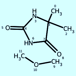 CC1(C)NC(=O)NC1=O.COC